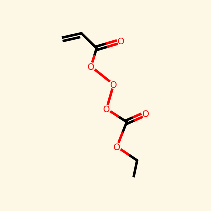 C=CC(=O)OOOC(=O)OCC